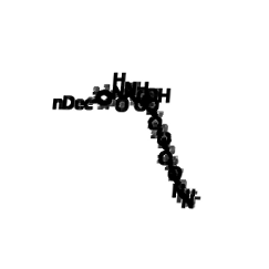 CCCCCCCCCCc1ccc(NC(=O)[C@H](N)COP(=O)(O)OCCOCCOCCOCCOCCN=[N+]=[N-])cc1